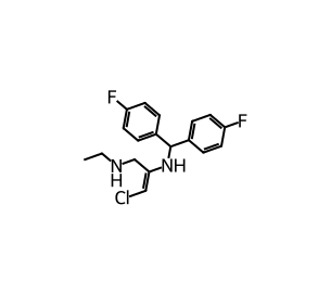 CCNC/C(=C\Cl)NC(c1ccc(F)cc1)c1ccc(F)cc1